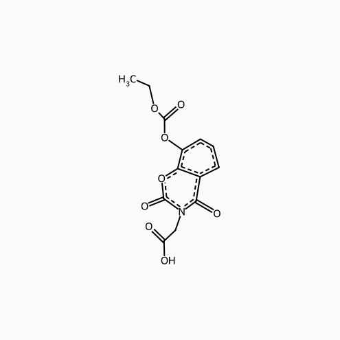 CCOC(=O)Oc1cccc2c(=O)n(CC(=O)O)c(=O)oc12